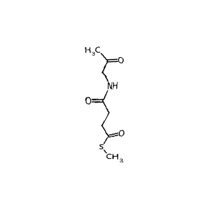 CSC(=O)CCC(=O)NCC(C)=O